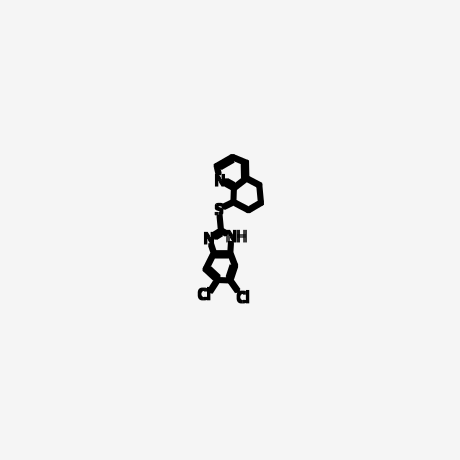 Clc1cc2nc(SC3CCCc4cccnc43)[nH]c2cc1Cl